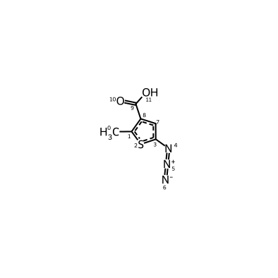 Cc1sc(N=[N+]=[N-])cc1C(=O)O